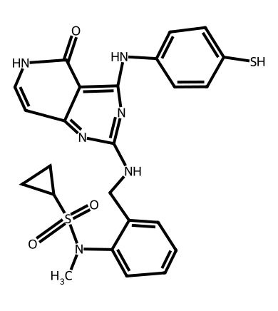 CN(c1ccccc1CNc1nc(Nc2ccc(S)cc2)c2c(=O)[nH]ccc2n1)S(=O)(=O)C1CC1